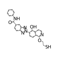 O=C(Nc1ccccc1)c1ccc2nn(-c3ccc4c(OCCS)nccc4c3O)nc2c1